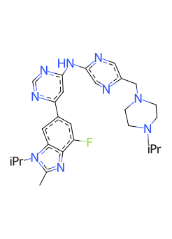 Cc1nc2c(F)cc(-c3cc(Nc4cnc(CN5CCN(C(C)C)CC5)cn4)ncn3)cc2n1C(C)C